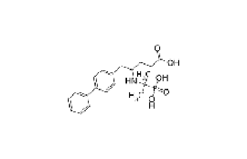 CC(C)(NC(CCC(=O)O)Cc1ccc(-c2ccccc2)cc1)P(=O)(O)O